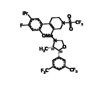 COc1cc(F)c(C(C)C)cc1C1=C(CN2CO[C@H](c3cc(C(F)(F)F)cc(C(F)(F)F)c3)[C@@H]2C)CN(S(=O)(=O)C(F)(F)F)CC1